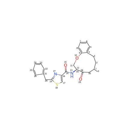 CC1CCc2ccccc2OC[C@H](NC(=O)c2csc(Cc3ccccc3)n2)C(=O)C1